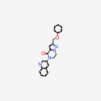 O=C1c2cc(COc3ccccc3)nn2CCN1c1cnc2ccccc2c1